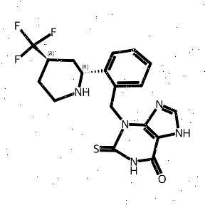 O=c1[nH]c(=S)n(Cc2ccccc2[C@H]2C[C@H](C(F)(F)F)CCN2)c2nc[nH]c12